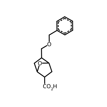 O=C(O)C1CC2OC1CC2COCc1ccccc1